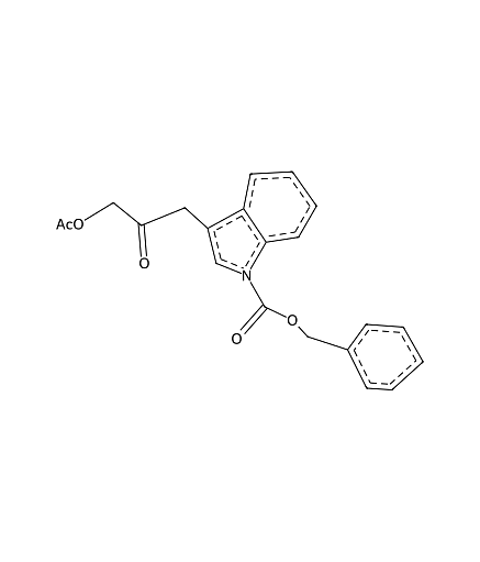 CC(=O)OCC(=O)Cc1cn(C(=O)OCc2ccccc2)c2ccccc12